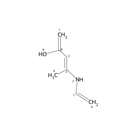 C=CN/C(C)=C/C(=C)O